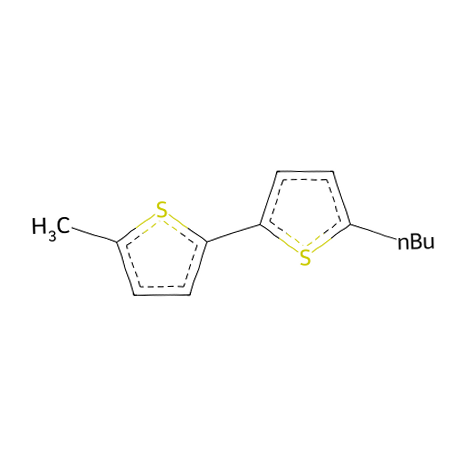 CCCCc1ccc(-c2ccc(C)s2)s1